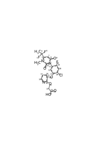 Cn1c(C(C)(F)F)cc(=O)n(-c2cc(Oc3cccnc3OCC(=O)O)c(Cl)cc2F)c1=O